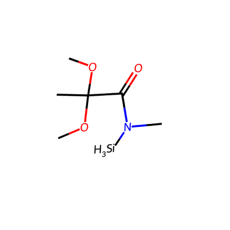 COC(C)(OC)C(=O)N(C)[SiH3]